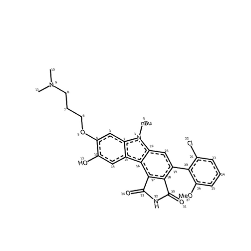 CCCCn1c2cc(OCCCN(C)C)c(O)cc2c2c3c(c(-c4c(Cl)cccc4OC)cc21)C(=O)NC3=O